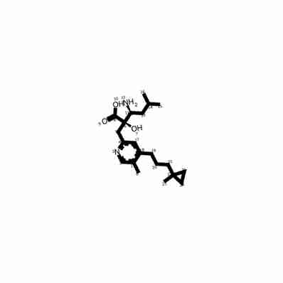 Cc1cnc(C[C@](O)(C(=O)O)[C@@H](N)CC(C)C)cc1CCCC1(C)CC1